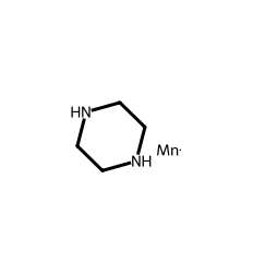 C1CNCCN1.[Mn]